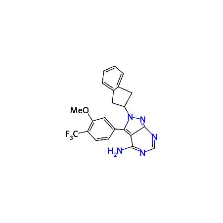 COc1cc(-c2c3c(N)ncnc3nn2C2Cc3ccccc3C2)ccc1C(F)(F)F